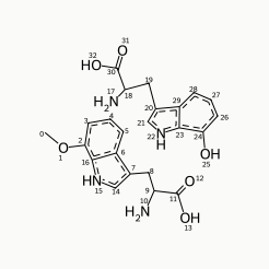 COc1cccc2c(CC(N)C(=O)O)c[nH]c12.NC(Cc1c[nH]c2c(O)cccc12)C(=O)O